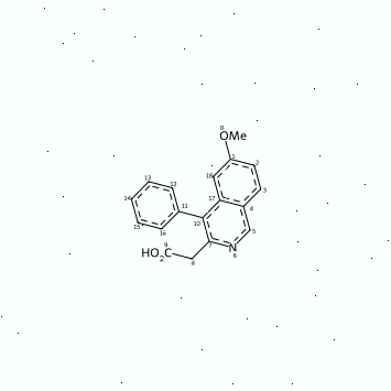 COc1ccc2cnc(CC(=O)O)c(-c3ccccc3)c2c1